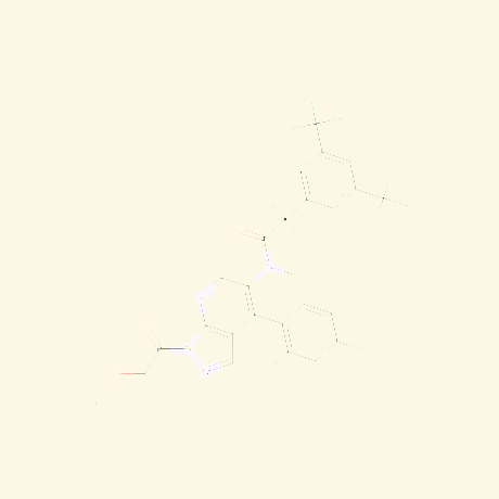 COCC(=O)n1ncc2c(-c3ccc(F)cc3C)c(N(C)C(=O)C(C)(C)c3cc(C(F)(F)F)cc(C(F)(F)F)c3)cnc21